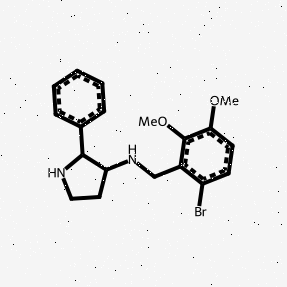 COc1ccc(Br)c(CNC2CCNC2c2ccccc2)c1OC